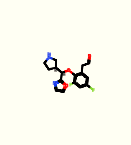 O=CCc1cc(F)cc(F)c1O[C@@H](c1ncco1)[C@H]1CCNC1